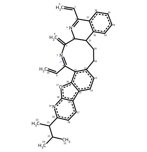 C=CC1=NC2C(=C)/N=C(/C=C)c3c(ccc4c3oc3nc(C(C)C(C)C)ccc34)CCC2c2ccccc21